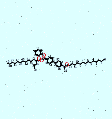 CCCCCCCCCCCCCCOC(C)c1ccc(-c2ccc(C(=O)Oc3ccccc3OC(CCC)CCCCCCCCCCC)cc2)cc1